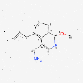 C=CCc1cccc2c(OC)ncc(CN)c12